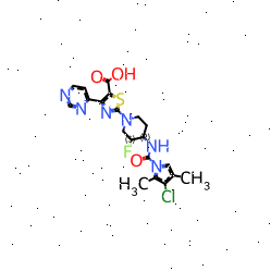 Cc1cn(C(=O)N[C@@H]2CCN(c3nc(-c4ccncn4)c(C(=O)O)s3)C[C@@H]2F)c(C)c1Cl